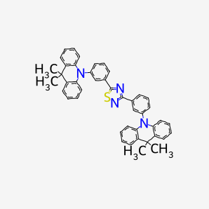 CC1(C)c2ccccc2N(c2cccc(-c3nsc(-c4cccc(N5c6ccccc6C(C)(C)c6ccccc65)c4)n3)c2)c2ccccc21